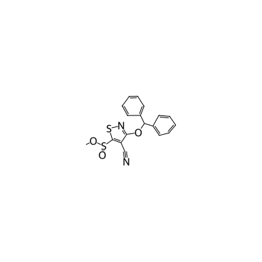 COS(=O)c1snc(OC(c2ccccc2)c2ccccc2)c1C#N